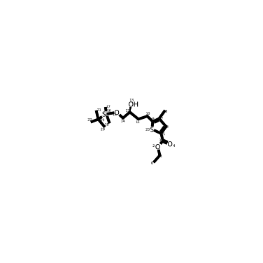 CCOC(=O)c1cc(C)c(CC[C@H](O)CO[Si](C)(C)C(C)(C)C)s1